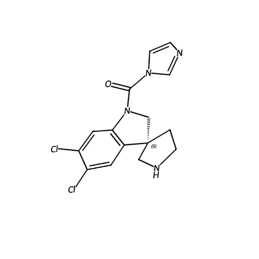 O=C(N1C[C@@]2(CCNC2)c2cc(Cl)c(Cl)cc21)n1ccnc1